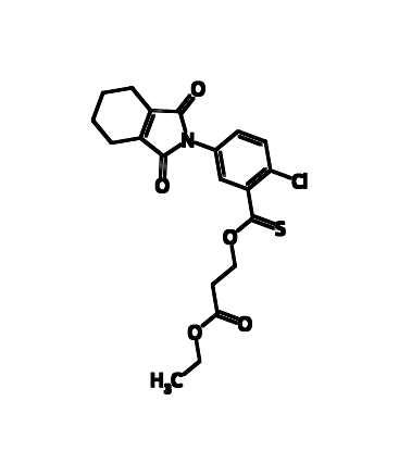 CCOC(=O)CCOC(=S)c1cc(N2C(=O)C3=C(CCCC3)C2=O)ccc1Cl